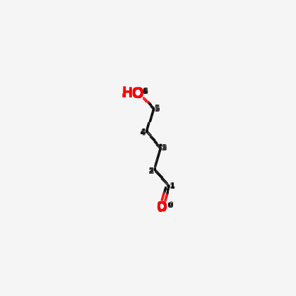 O=CC[CH]CCO